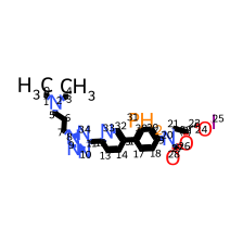 CCN(CC)CCCn1nnc(-c2ccc(-c3ccc(N4C[C@H](COI)OC4=O)cc3P)cn2)n1